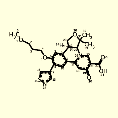 COCCCOc1cc2c(cc1-c1cnsc1)-c1cc(=O)c(C(=O)O)cn1C1[C@@H]2COC1(C)C